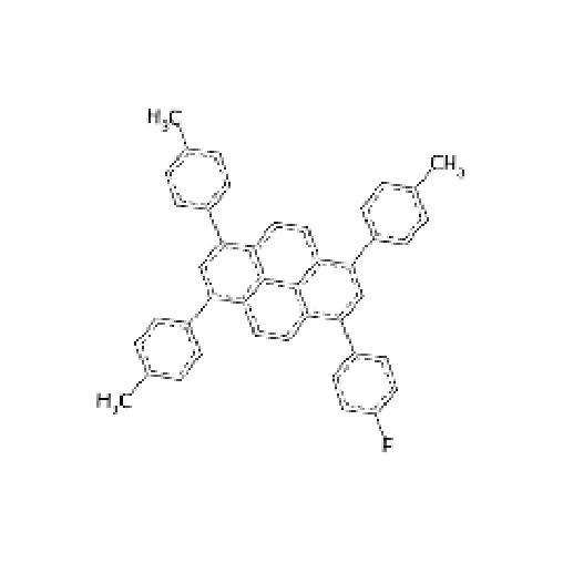 Cc1ccc(-c2cc(-c3ccc(C)cc3)c3ccc4c(-c5ccc(F)cc5)cc(-c5ccc(C)cc5)c5ccc2c3c54)cc1